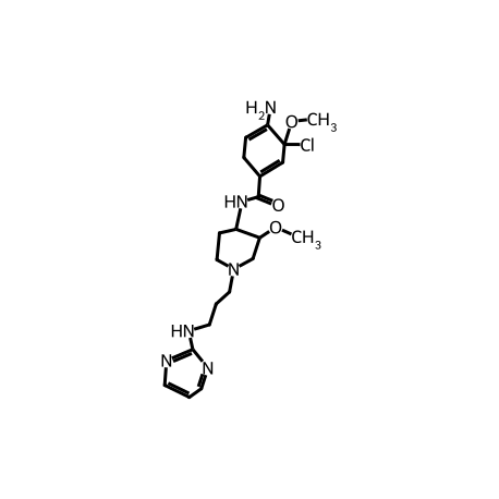 COC1CN(CCCNc2ncccn2)CCC1NC(=O)C1=CC(Cl)(OC)C(N)=CC1